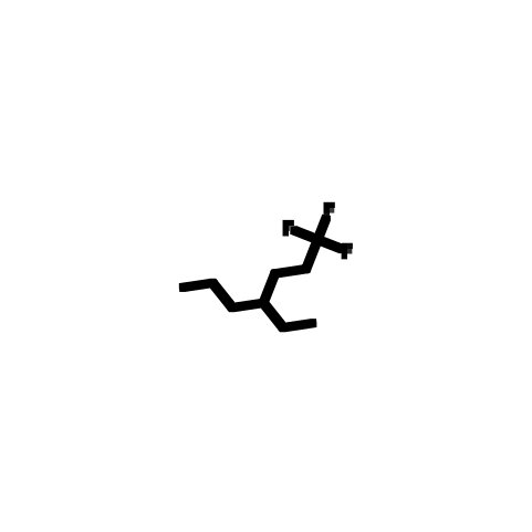 CCCC(CC)CCC(F)(F)F